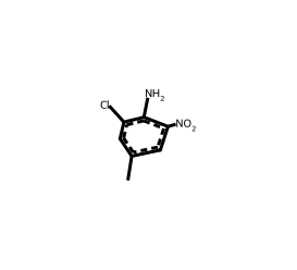 Cc1cc(Cl)c(N)c([N+](=O)[O-])c1